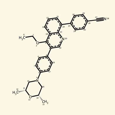 CCOc1c(-c2ccc(N3C[C@@H](C)O[C@@H](C)C3)cc2)cnc2c(-c3ccc(C#N)cc3)cccc12